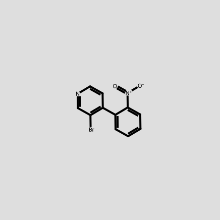 O=[N+]([O-])c1ccccc1-c1ccncc1Br